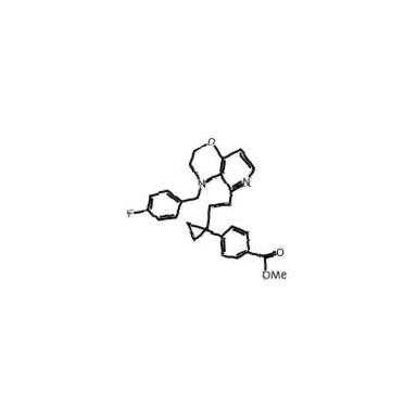 COC(=O)c1ccc(C2(CCc3nccc4c3N(Cc3ccc(F)cc3)CCO4)CC2)cc1